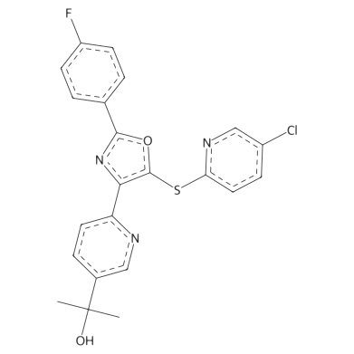 CC(C)(O)c1ccc(-c2nc(-c3ccc(F)cc3)oc2Sc2ccc(Cl)cn2)nc1